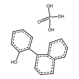 O=P(O)(O)O.Oc1ccccc1-c1cccc2ccccc12